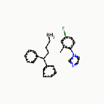 BCCCC(c1ccccc1)c1ccccc1.Cc1cc(F)ccc1-n1ccnc1